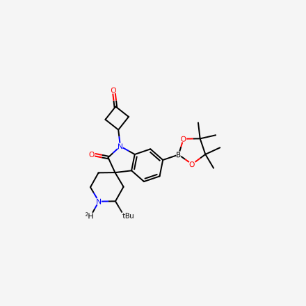 [2H]N1CCC2(CC1C(C)(C)C)C(=O)N(C1CC(=O)C1)c1cc(B3OC(C)(C)C(C)(C)O3)ccc12